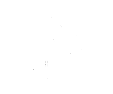 CCC(=O)N(c1cccc(NC(N)=O)c1)C1(C(=O)OC)CCN(CC(C(=O)O)c2ccccc2)CC1